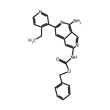 CCc1ccncc1-c1cc2cc(NC(=O)OCc3ccccc3)ncc2c(N)n1